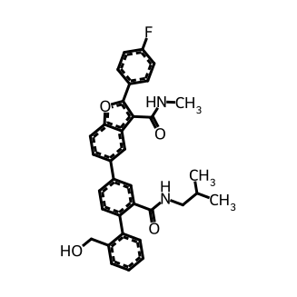 CNC(=O)c1c(-c2ccc(F)cc2)oc2ccc(-c3ccc(-c4ccccc4CO)c(C(=O)NCC(C)C)c3)cc12